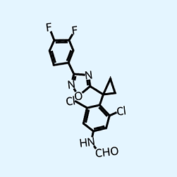 O=CNc1cc(Cl)c(C2(c3nc(-c4ccc(F)c(F)c4)no3)CC2)c(Cl)c1